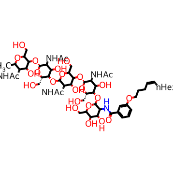 CCCCCC/C=C\CCCOc1cccc(C(=O)NC2C(OC3C(O)C(NC(C)=O)[C@H](OC4C(CO)OC(OC5C(O)C(NC(C)=O)[C@H](OC6C(CO)OC(C)C(NC(C)=O)C6O)O[C@H]5CO)C(NC(C)=O)C4O)O[C@H]3CO)OC(CO)C(O)C2O)c1